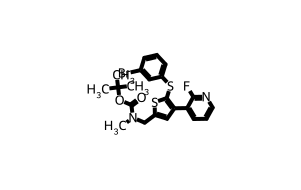 CN(Cc1cc(-c2cccnc2F)c(Sc2cccc(Br)c2)s1)C(=O)OC(C)(C)C